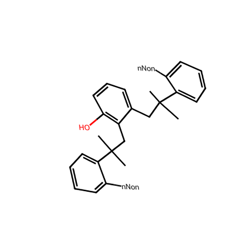 CCCCCCCCCc1ccccc1C(C)(C)Cc1cccc(O)c1CC(C)(C)c1ccccc1CCCCCCCCC